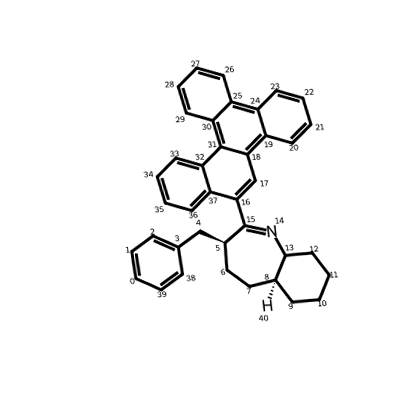 c1ccc(C[C@@H]2CC[C@@H]3CCCCC3N=C2c2cc3c4ccccc4c4ccccc4c3c3ccccc23)cc1